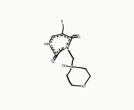 O=c1[nH]cc(F)c(=O)n1C[N+]1([O-])CCOCC1